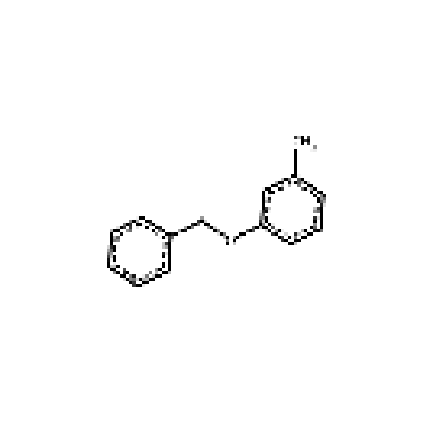 Cc1cccc(O[CH]c2ccccc2)c1